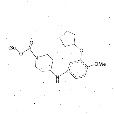 COc1ccc(NC2CCN(C(=O)OC(C)(C)C)CC2)cc1OC1CCCC1